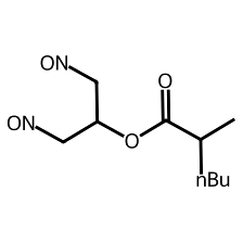 CCCCC(C)C(=O)OC(CN=O)CN=O